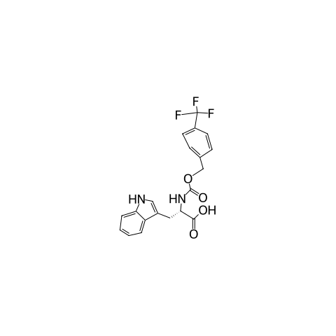 O=C(N[C@@H](Cc1c[nH]c2ccccc12)C(=O)O)OCc1ccc(C(F)(F)F)cc1